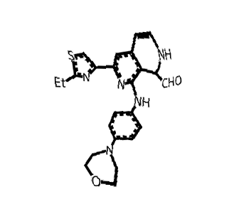 CCc1nc(-c2cc3c(c(Nc4ccc(N5CCOCC5)cc4)n2)C(C=O)NC=C3)cs1